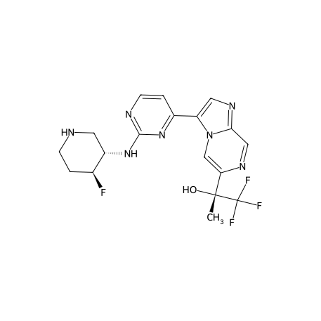 C[C@@](O)(c1cn2c(-c3ccnc(N[C@H]4CNCC[C@@H]4F)n3)cnc2cn1)C(F)(F)F